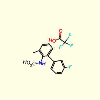 Cc1cccc(-c2cccc(F)c2)c1NC(=O)O.O=C(O)C(F)(F)F